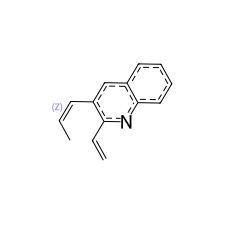 C=Cc1nc2ccccc2cc1/C=C\C